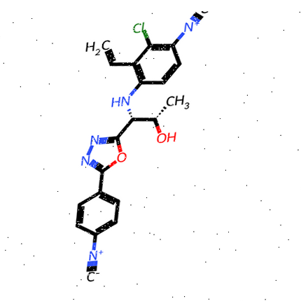 [C-]#[N+]c1ccc(-c2nnc([C@H](Nc3ccc([N+]#[C-])c(Cl)c3C=C)[C@H](C)O)o2)cc1